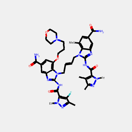 CCn1nc(C)c(C)c1C(=O)Nc1nc2cc(C(N)=O)cc(SC)c2n1C/C=C/Cn1c(NC(=O)c2c(F)c(C)nn2CC)nc2cc(C(N)=O)cc(OCCCN3CCOCC3)c21